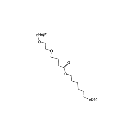 CCCCCCCCCCCCCCCCOC(=O)CCCOCCOCCCCCCC